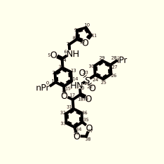 CCCc1cc(C(=O)NCc2ccco2)ccc1OC(C(=O)NS(=O)(=O)c1ccc(C(C)C)cc1)c1ccc2c(c1)OCO2